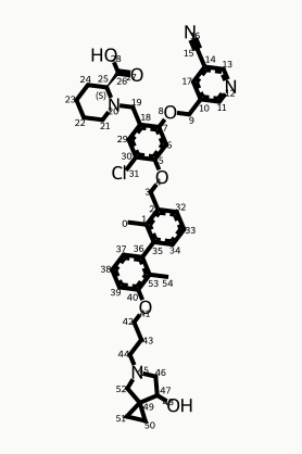 Cc1c(COc2cc(OCc3cncc(C#N)c3)c(CN3CCCC[C@H]3C(=O)O)cc2Cl)cccc1-c1cccc(OCCCN2CC(O)C3(CC3)C2)c1C